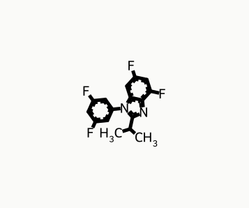 CC(C)c1nc2c(F)cc(F)cc2n1-c1cc(F)cc(F)c1